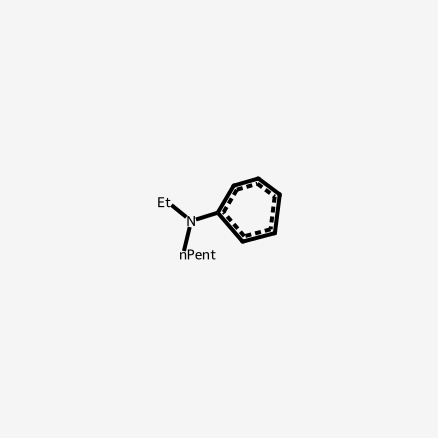 [CH2]CN(CCCCC)c1ccccc1